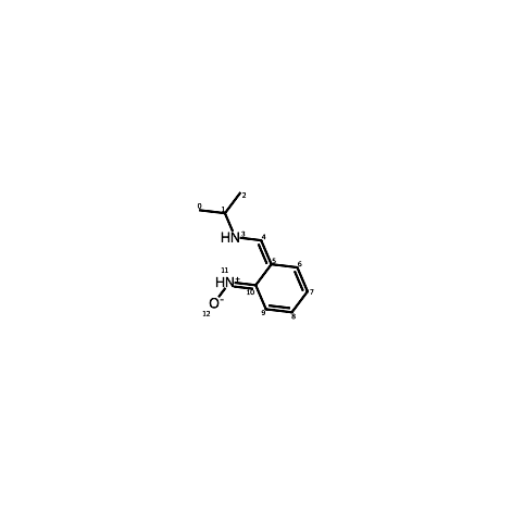 CC(C)N/C=C1/C=CC=C/C1=[NH+]\[O-]